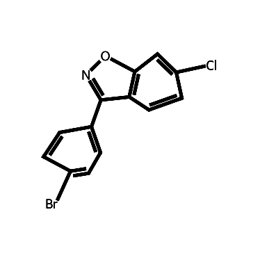 Clc1ccc2c(-c3ccc(Br)cc3)noc2c1